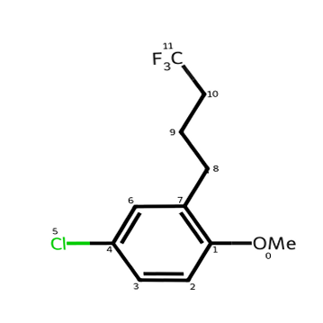 COc1ccc(Cl)cc1[CH]CCC(F)(F)F